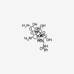 CC(C)C(=O)NCC[C@@H](O)C1C(O)O[C@H](OC2C(O)[C@H](OC3C(O)[C@H](N)CC(N)[C@H]3O[C@H]3OC(CN)[C@@H](O)C(O)C3N)O[C@@H]2CO)C1N